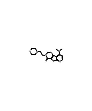 CN(C)c1ccnc2sc3c(=O)n(CCN4CCOCC4)cnc3c12